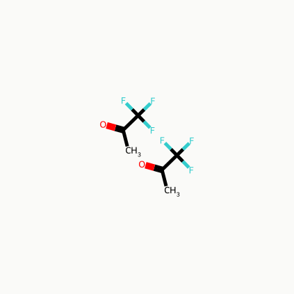 CC(=O)C(F)(F)F.CC(=O)C(F)(F)F